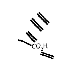 C=C.C=C.C=C.C=C.CC(=O)O